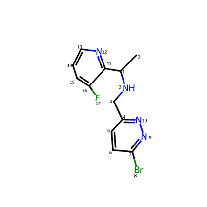 CC(NCc1ccc(Br)nn1)c1ncccc1F